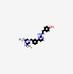 CC1CN(Cc2cccc(-c3ccnc(NCCc4ccc(O)cc4)n3)c2)CC(C)N1